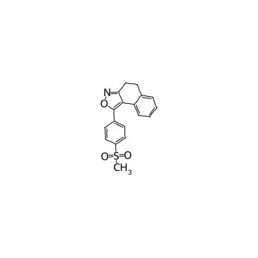 CS(=O)(=O)c1ccc(-c2onc3c2-c2ccccc2CC3)cc1